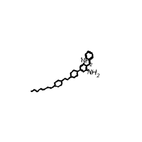 CCCCCCCC1CCC(CCC2CCC(c3cc(N)c(Cc4ccccc4)c(N)c3)CC2)CC1